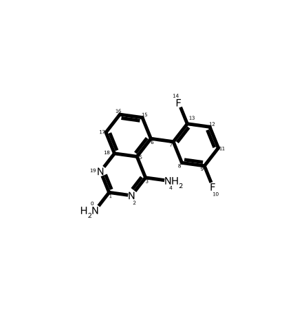 Nc1nc(N)c2c(-c3cc(F)ccc3F)cccc2n1